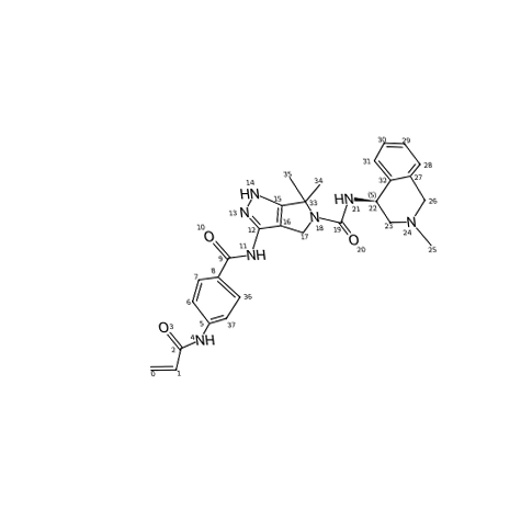 C=CC(=O)Nc1ccc(C(=O)Nc2n[nH]c3c2CN(C(=O)N[C@@H]2CN(C)Cc4ccccc42)C3(C)C)cc1